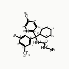 CC(C)NC(=O)N[C@@](c1cc(F)cc(C(F)(F)F)c1)(c1ccc(Cl)cn1)C1CCCCC1